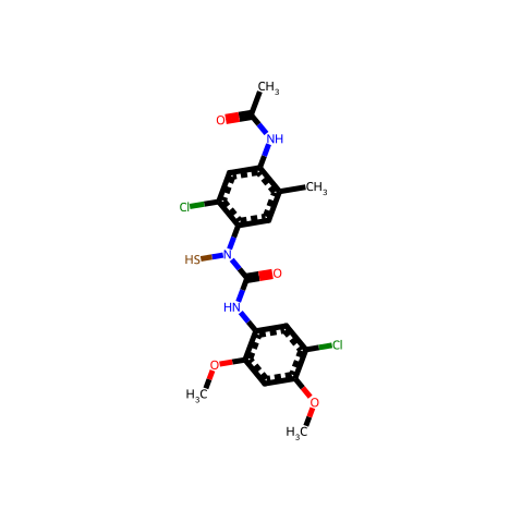 COc1cc(OC)c(NC(=O)N(S)c2cc(C)c(NC(C)=O)cc2Cl)cc1Cl